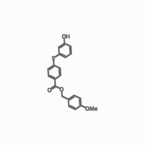 COc1ccc(COC(=O)c2ccc(Sc3cccc(O)c3)cc2)cc1